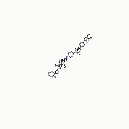 FC(F)(F)Oc1ccc(-n2cnc(-c3ccc(/C=N/NC(=S)NCCOc4ccccn4)cc3)n2)cc1